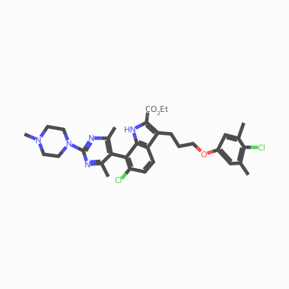 CCOC(=O)c1[nH]c2c(-c3c(C)nc(N4CCN(C)CC4)nc3C)c(Cl)ccc2c1CCCOc1cc(C)c(Cl)c(C)c1